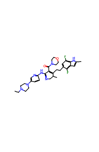 CCN1CCN(c2ccc(NC3=NCC(C)C(CCc4cc(F)c5[nH]c(C)cc5c4F)=C3C(=O)N3CCOCC3)nc2)CC1